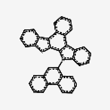 c1ccc2c(c1)cc(-n1c3ccccc3c3c4ccccc4c4c5ccccc5sc4c31)c1ccccc12